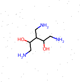 NCC(O)C(CN)C(O)CN